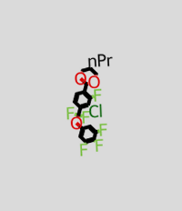 CCCC1COC(c2ccc(C(F)(F)Oc3cc(F)c(F)c(F)c3)c(Cl)c2F)OC1